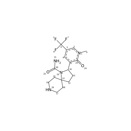 Cn1cc(C(F)(F)F)cc(C2CCC3(CCNCC3)N2C(N)=O)c1=O